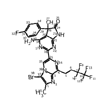 Cc1nc2c(CCC(F)(F)C(F)(F)F)nc(-c3nc(N)c4c(n3)NC(=O)C4(C)c3ccc(F)cc3)cn2c1Br